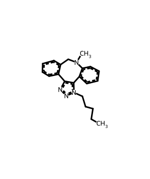 CCCCCn1nnc2c1-c1ccccc1N(C)Cc1ccccc1-2